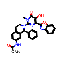 COC(=O)Nc1ccc2c(c1)C(c1ccccc1)N(c1nc(-c3nc4ccccc4o3)c(O)c(=O)n1C)CC2